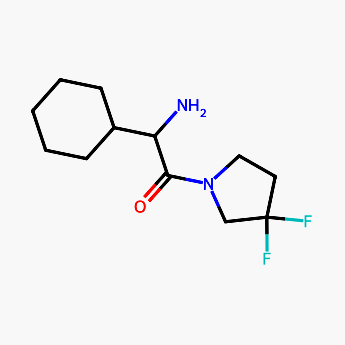 NC(C(=O)N1CCC(F)(F)C1)C1CCCCC1